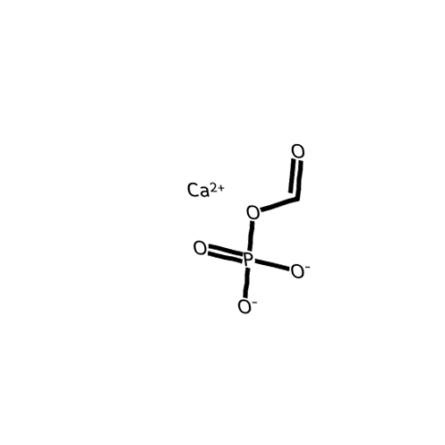 O=COP(=O)([O-])[O-].[Ca+2]